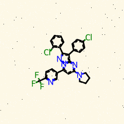 FC(F)(F)c1ccc(-c2cc(N3CCCC3)nc3c(-c4ccc(Cl)cc4)c(-c4ccccc4Cl)nn23)cn1